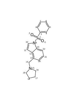 O=S(=O)(c1ccccc1)n1ccc2c(CN3CCCC3)cccc21